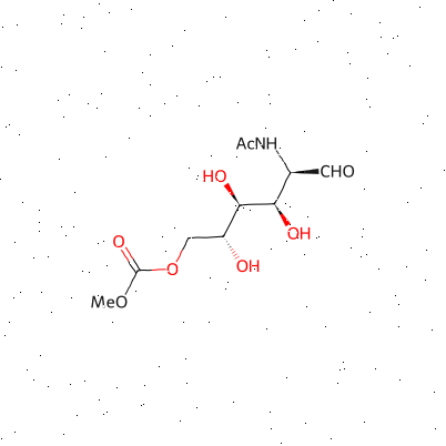 COC(=O)OC[C@@H](O)[C@@H](O)[C@H](O)[C@H](C=O)NC(C)=O